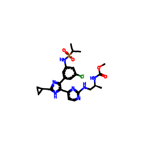 COC(=O)N[C@@H](C)CNc1nccc(-c2[nH]c(C3CC3)nc2-c2cc(Cl)cc(NS(=O)(=O)C(C)C)c2)n1